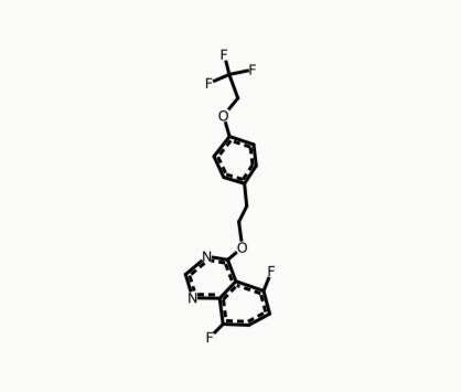 Fc1ccc(F)c2c(OCCc3ccc(OCC(F)(F)F)cc3)ncnc12